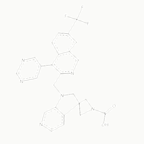 O=C(O)N1CC2(C1)CN(Cc1ncc3cc(C(F)(F)F)ccc3c1-c1cncnc1)c1cnccc12